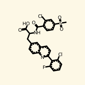 CS(=O)(=O)c1ccc(C(=O)NC(Cc2ccc3nc(-c4c(F)cccc4Cl)ccc3c2)C(=O)O)c(Cl)c1